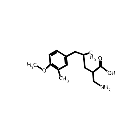 COc1ccc(CC(C)CC(CN)C(=O)O)cc1C